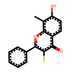 Cc1c(O)ccc2c(=O)c(F)c(-c3ccccc3)oc12